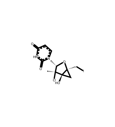 C[C@]1(Cl)[C@H](n2ccc(=O)[nH]c2=O)O[C@@]2(CI)C[C@@]21O